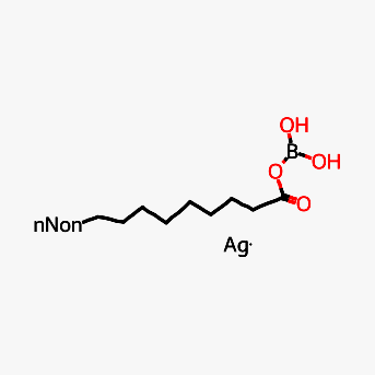 CCCCCCCCCCCCCCCCCC(=O)OB(O)O.[Ag]